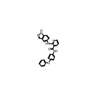 O=C(Nc1ccc(Oc2ccccc2)cc1)c1cccnc1Nc1ccc2[nH]ncc2c1